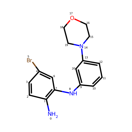 Nc1ccc(Br)cc1Nc1cccc(N2CCOCC2)c1